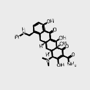 CC(C)NCc1ccc(O)c2c1C[C@H]1C[C@@H]3C(N(C)C)C(O)=C(C(N)=O)C(=O)[C@@]3(O)C(O)=C1C2=O